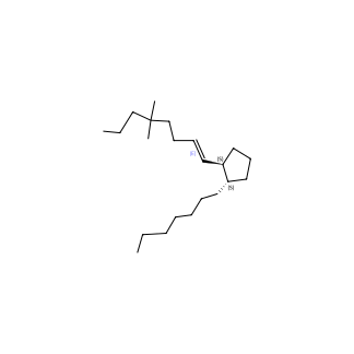 CCCCCCC[C@H]1CCC[C@@H]1/C=C/CCC(C)(C)CCC